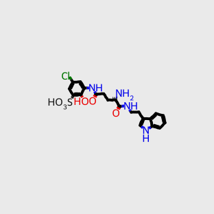 N[C@@H](CCC(=O)Nc1cc(Cl)cc(S(=O)(=O)O)c1O)C(=O)NCCc1c[nH]c2ccccc12